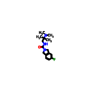 CN(C)C(C)(C)CNC(=O)N1Cc2ccc(F)cc2C1